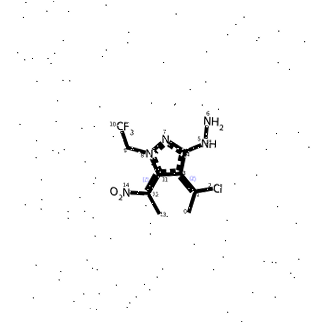 C/C(Cl)=c1/c(NN)nn(CC(F)(F)F)/c1=C(/C)[N+](=O)[O-]